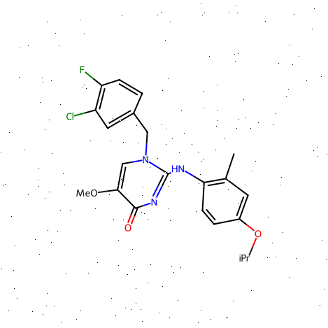 COc1cn(Cc2ccc(F)c(Cl)c2)c(Nc2ccc(OC(C)C)cc2C)nc1=O